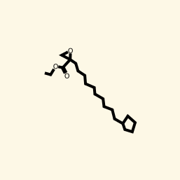 CCOC(=O)C1(CCCCCCCCCCC2CCCC2)CO1